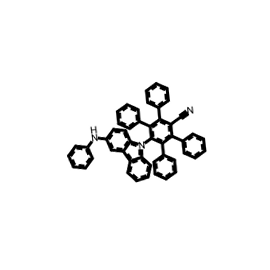 N#Cc1c(-c2ccccc2)c(-c2ccccc2)c(-n2c3ccccc3c3cc(Nc4ccccc4)ccc32)c(-c2ccccc2)c1-c1ccccc1